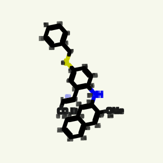 CCOC(=O)/C=C/c1cc(SCc2ccccc2)ccc1Nc1cc2ccccc2cc1OC